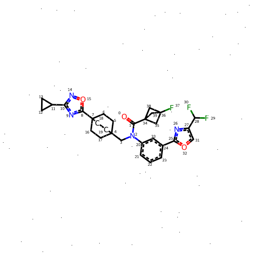 O=C(N(CC12CCC(c3nc(C4CC4)no3)(CC1)CC2)c1cccc(-c2nc(C(F)F)co2)c1)C12CC(F)(C1)C2